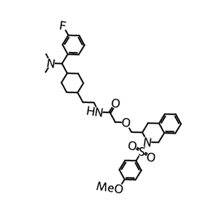 COc1ccc(S(=O)(=O)N2Cc3ccccc3CC2COCC(=O)NCCC2CCC(C(c3cccc(F)c3)N(C)C)CC2)cc1